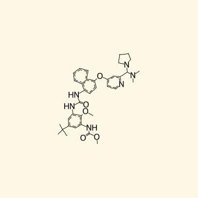 COC(=O)Nc1cc(C(C)(C)C)cc(NC(=O)Nc2ccc(Oc3ccnc(C(N(C)C)N4CCCC4)c3)c3ccccc23)c1OC